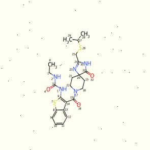 CCNC(=O)Nc1sc2ccccc2c1C(=O)N1CCC2(CC1)N=C(CSC(C)C)NC2=O